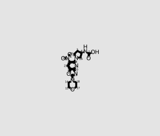 O=C(O)N[C@@H]1CCN(c2nc3nc(N4CCOCC4)oc3cc2[N+](=O)[O-])C1